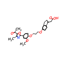 COc1cc(-c2nc(C)c(C(C)=O)o2)ccc1OCCCOc1ccc2c(c1)CC[C@H]2CC(=O)O